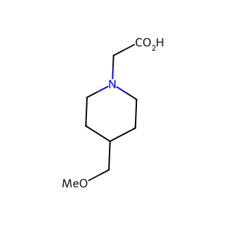 COCC1CCN(CC(=O)O)CC1